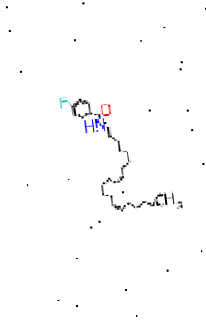 CCCCC/C=C\C/C=C\C/C=C\C/C=C\CCCCNC(=O)c1ccc(F)cc1